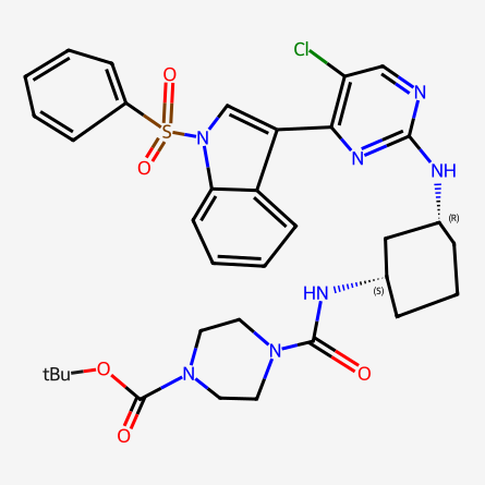 CC(C)(C)OC(=O)N1CCN(C(=O)N[C@H]2CCC[C@@H](Nc3ncc(Cl)c(-c4cn(S(=O)(=O)c5ccccc5)c5ccccc45)n3)C2)CC1